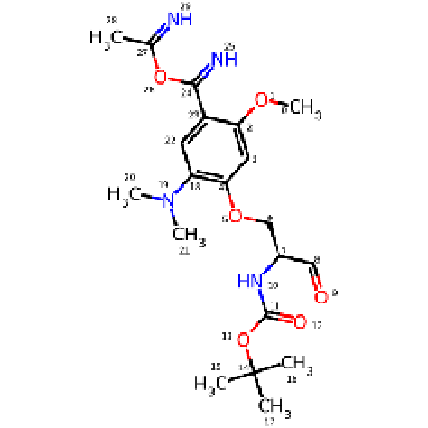 COc1cc(OC[C@@H](C=O)NC(=O)OC(C)(C)C)c(N(C)C)cc1C(=N)OC(C)=N